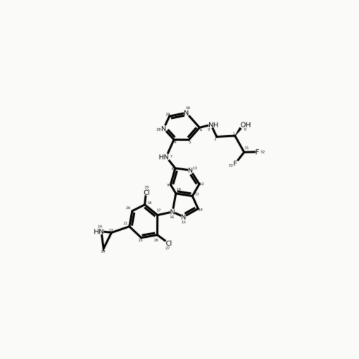 O[C@H](CNc1cc(Nc2cc3c(cn2)cnn3-c2c(Cl)cc(C3CN3)cc2Cl)ncn1)C(F)F